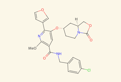 COc1nc(-c2ccoc2)c(O[C@H]2CCN3C(=O)OC[C@@H]3C2)cc1C(=O)NCc1ccc(Cl)cc1